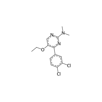 CCOc1cnc(N(C)C)nc1-c1ccc(Cl)c(Cl)c1